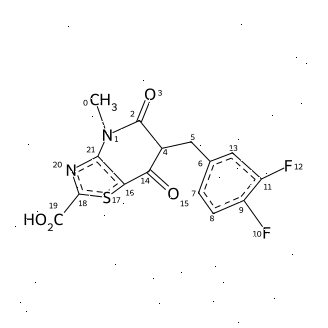 CN1C(=O)C(Cc2ccc(F)c(F)c2)C(=O)c2sc(C(=O)O)nc21